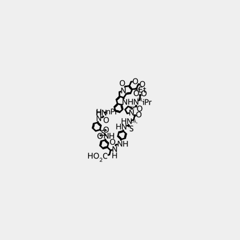 CCCNC(=O)NC1=CC(S(=O)(=O)Nc2cccc(C(CC(=O)O)NC(=O)Nc3ccc(NC(=S)N[C@@H](C)C(=O)N4CCC[C@H]4C(=O)N[C@H](C(=O)O[C@]4(CC)C(=O)OCc5c4cc4n(c5=O)Cc5cc6ccccc6nc5-4)C(C)C)cc3)c2)CC=C1